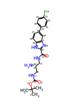 CC(C)(C)OC(=O)NC[C@H](N)CNC(=O)c1nc2cc(-c3ccc(F)cc3)ccc2[nH]1